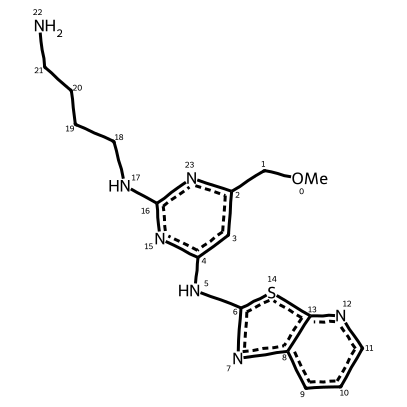 COCc1cc(Nc2nc3cccnc3s2)nc(NCCCCN)n1